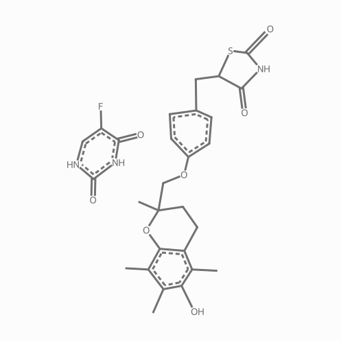 Cc1c(C)c2c(c(C)c1O)CCC(C)(COc1ccc(CC3SC(=O)NC3=O)cc1)O2.O=c1[nH]cc(F)c(=O)[nH]1